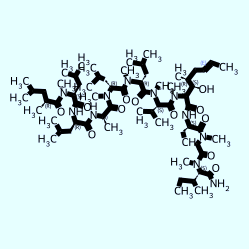 C/C=C/C[C@@H](C)[C@H](O)C(C(=O)N[C@@H](CC)C(=O)N(C)CC(=O)N(C)[C@H](C(N)=O)C(C)CC)N(C)C(=O)[C@H](C(C)C)N(C)C(=O)[C@@H](CC(C)C)N(C)C(=O)[C@@H](CC(C)C)N(C)C(=O)[C@H](C)NC(=O)[C@@H](CC(C)C)NC(=O)[C@H](CC(C)C)N(C)C(=O)[C@H](C)CC(C)C